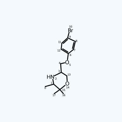 CC1NC(COc2ccc(Br)cc2)COC1(C)C